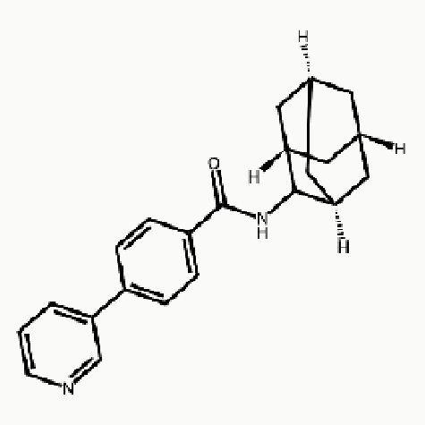 O=C(NC1[C@H]2C[C@@H]3C[C@@H](C[C@H]1C3)C2)c1ccc(-c2cccnc2)cc1